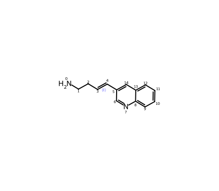 NCC/C=C/c1cnc2ccccc2c1